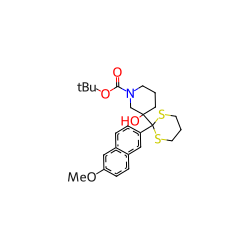 COc1ccc2cc(C3(C4(O)CCCN(C(=O)OC(C)(C)C)C4)SCCCS3)ccc2c1